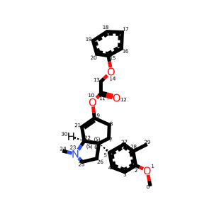 COc1ccc([C@@]23CCC(OC(=O)COc4ccccc4)=C[C@@H]2N(C)CC3)cc1C